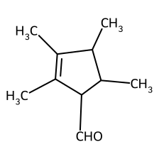 CC1=C(C)C(C=O)C(C)C1C